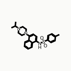 Cc1ccc(S(=O)(=O)Nc2ccc(N3CCN(C(C)C)CC3)c3ccccc23)cc1